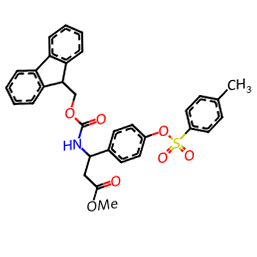 COC(=O)CC(NC(=O)OCC1c2ccccc2-c2ccccc21)c1ccc(OS(=O)(=O)c2ccc(C)cc2)cc1